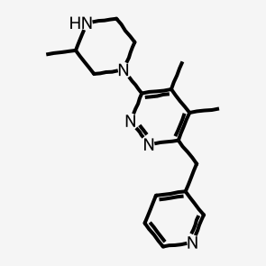 Cc1c(Cc2cccnc2)nnc(N2CCNC(C)C2)c1C